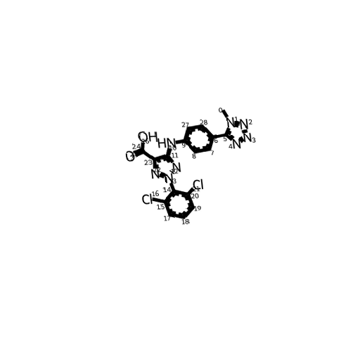 Cn1nnnc1-c1ccc(Nc2nn(-c3c(Cl)cccc3Cl)nc2C(=O)O)cc1